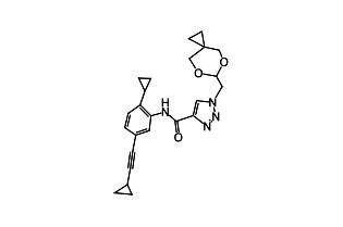 O=C(Nc1cc(C#CC2CC2)ccc1C1CC1)c1cn(CC2OCC3(CC3)CO2)nn1